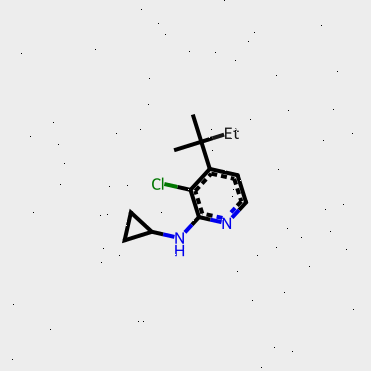 CCC(C)(C)c1ccnc(NC2CC2)c1Cl